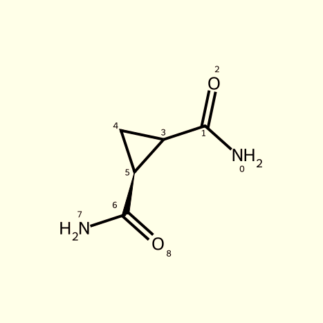 NC(=O)C1C[C@@H]1C(N)=O